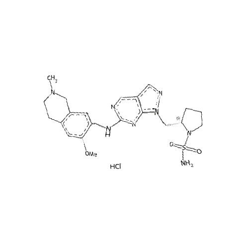 COc1cc2c(cc1Nc1ncc3cnn(C[C@@H]4CCCN4S(N)(=O)=O)c3n1)CN(C)CC2.Cl